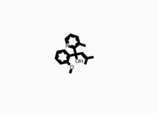 COc1ccccc1C(O)(C=C(C)C)c1ncccc1C